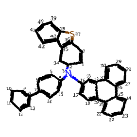 C1=CC(N(c2ccc(-c3ccccc3)cc2)c2ccc3c4ccccc4c4ccccc4c3c2)Cc2c1sc1ccccc21